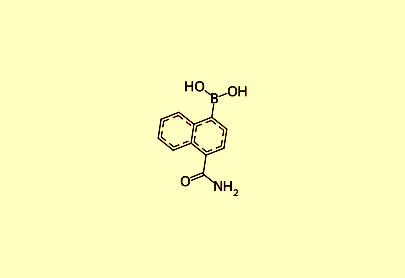 NC(=O)c1ccc(B(O)O)c2ccccc12